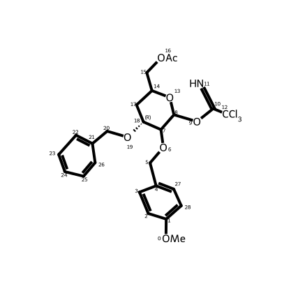 COc1ccc(COC2C(OC(=N)C(Cl)(Cl)Cl)OC(COC(C)=O)C[C@H]2OCc2ccccc2)cc1